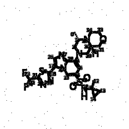 C[C@H]1CN(c2cc(S(=O)(=O)NC3(C)CC3)cn3c(-c4nnc(C(F)F)s4)cnc23)C[C@@H]2COCCN21